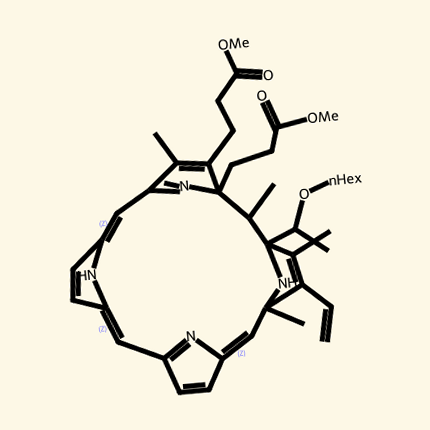 C=CC1=C(C)C2(C(C)OCCCCCC)NC1(C)/C=C1/C=CC(=N1)/C=c1/cc/c([nH]1)=C/C1=NC(CCC(=O)OC)(C(CCC(=O)OC)=C1C)C2C